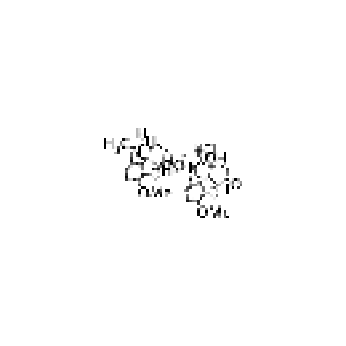 COc1ccc2c3c1O[C@H]1C(=O)CC[C@@]4(O)[C@@H](C2)N(C)CC[C@]314.COc1ccc2c3c1O[C@H]1C(=O)CC[C@H]4[C@@H](C2)N(C)CC[C@]314.Cl